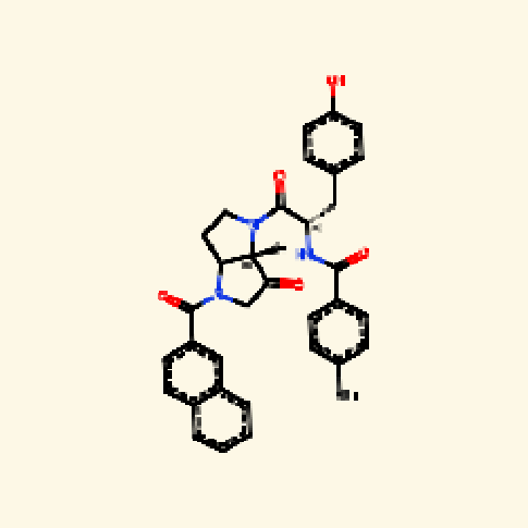 CC(C)(C)c1ccc(C(=O)N[C@@H](Cc2ccc(O)cc2)C(=O)N2CCC3[C@H]2C(=O)CN3C(=O)c2ccc3ccccc3c2)cc1